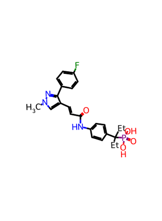 CCC(CC)(c1ccc(NC(=O)C=Cc2cn(C)nc2-c2ccc(F)cc2)cc1)P(=O)(O)O